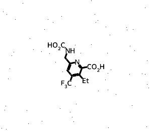 CCc1c(C(F)(F)F)cc(CNC(=O)O)nc1C(=O)O